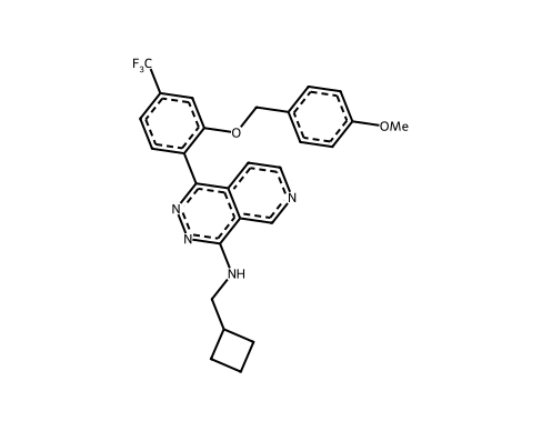 COc1ccc(COc2cc(C(F)(F)F)ccc2-c2nnc(NCC3CCC3)c3cnccc23)cc1